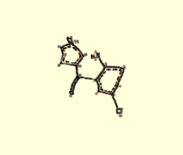 Nc1ccc(Cl)cc1C(=O)c1cc[nH]c1